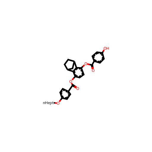 CCCCCCCOc1ccc(C(=O)Oc2ccc(OC(=O)c3ccc(O)cc3)c3c2C2CCC3C2)cc1